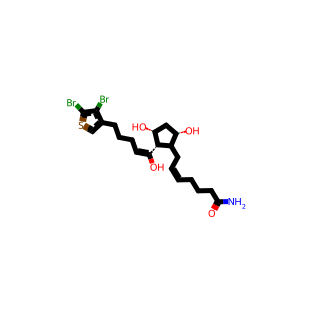 NC(=O)CCC/C=C\CC1[C@@H](O)C[C@@H](O)[C@H]1/C(O)=C\CCCc1csc(Br)c1Br